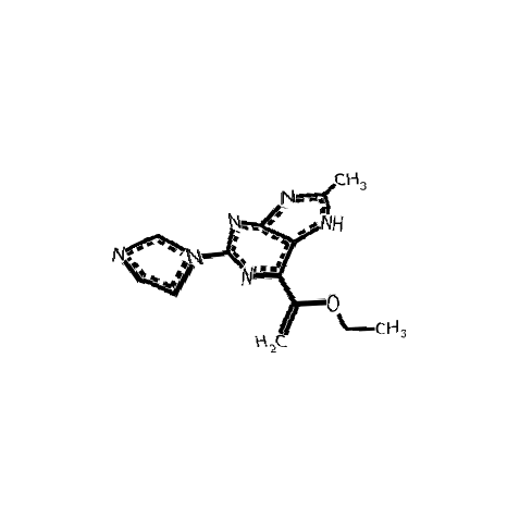 C=C(OCC)c1nc(-n2ccnc2)nc2nc(C)[nH]c12